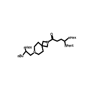 CCCCCCC(CCCCC)CCC(=O)N1CC2(CCN(CC(CCCC)CCCCCC)CC2)C1